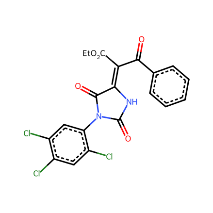 CCOC(=O)C(C(=O)c1ccccc1)=C1NC(=O)N(c2cc(Cl)c(Cl)cc2Cl)C1=O